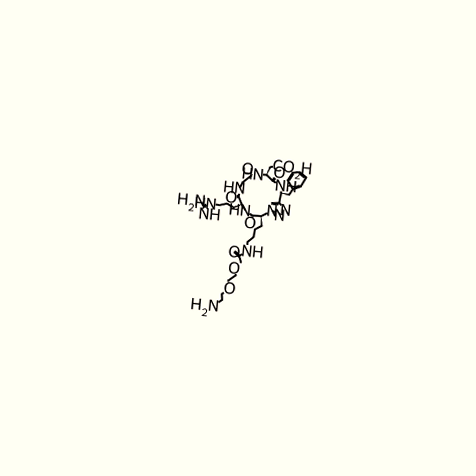 N=C(N)NCCC[C@@H]1NC(=O)[C@H](CCCCNC(=O)COCCOCCN)n2cc(nn2)[C@H](Cc2ccccc2)NC(=O)[C@H](CC(=O)O)NC(=O)CNC1=O